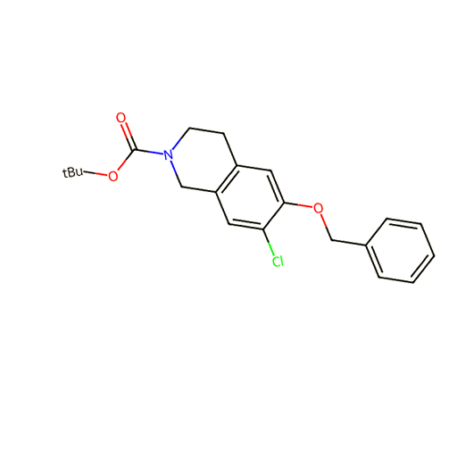 CC(C)(C)OC(=O)N1CCc2cc(OCc3ccccc3)c(Cl)cc2C1